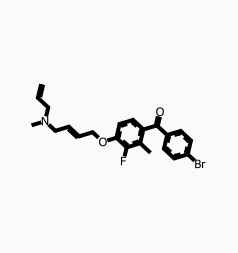 C=CCN(C)C/C=C/COc1ccc(C(=O)c2ccc(Br)cc2)c(C)c1F